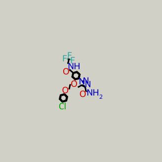 Cc1c(C(N)=O)nnn1-c1ccc(C(=O)NCC(F)(F)F)cc1OCCOc1ccc(Cl)cc1